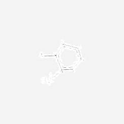 [CH2]c1ccccc1C(Cl)(Cl)Cl